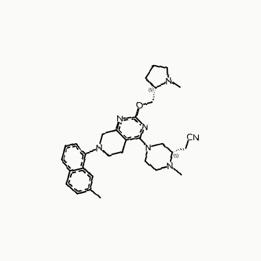 Cc1ccc2cccc(N3CCc4c(nc(OC[C@@H]5CCCN5C)nc4N4CCN(C)[C@@H](CC#N)C4)C3)c2c1